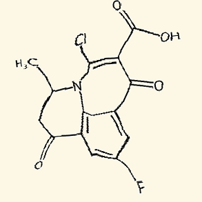 CC1CC(=O)c2cc(F)cc3c(=O)c(C(=O)O)c(Cl)n1c23